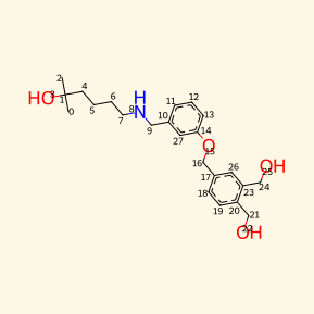 CC(C)(O)CCCCNCc1cccc(OCc2ccc(CO)c(CO)c2)c1